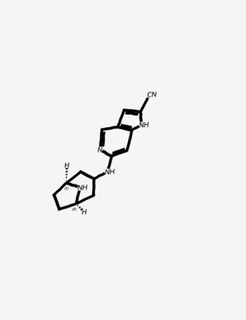 N#Cc1cc2cnc(NC3C[C@H]4CC[C@@H](C3)N4)cc2[nH]1